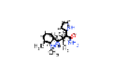 Cc1cccc2c(C(C)(C)C(C(N)=O)C3CCCN3)nn(C)c12